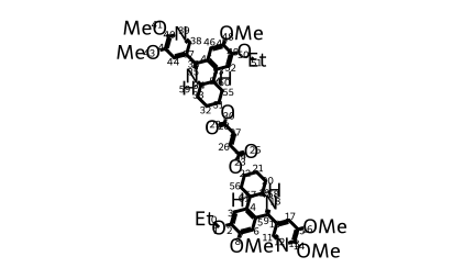 CCOc1cc2c(cc1OC)C(c1cnc(OC)c(OC)c1)=N[C@@H]1CC[C@@H](OC(=O)/C=C/C(=O)O[C@@H]3CC[C@H]4N=C(c5cnc(OC)c(OC)c5)c5cc(OC)c(OCC)cc5[C@H]4C3)C[C@H]21